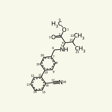 COC(=O)C(NCc1ccc(-c2ccccc2C#N)cc1)C(C)C